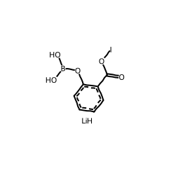 O=C(OI)c1ccccc1OB(O)O.[LiH]